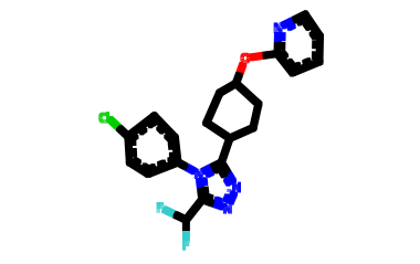 FC(F)c1nnc(C2CCC(Oc3ccccn3)CC2)n1-c1ccc(Cl)cc1